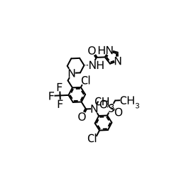 CCS(=O)(=O)c1ccc(Cl)cc1N(C)C(=O)c1cc(Cl)c(CN2CCC[C@H](NC(=O)c3cnc[nH]3)C2)c(C(F)(F)F)c1